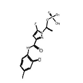 Cc1ccc(NC(=O)c2cc(F)n(C(C)OP(=O)(O)O)n2)c(Cl)c1